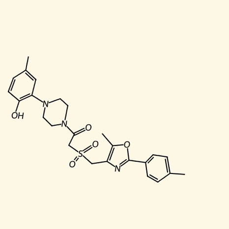 Cc1ccc(-c2nc(CS(=O)(=O)CC(=O)N3CCN(c4cc(C)ccc4O)CC3)c(C)o2)cc1